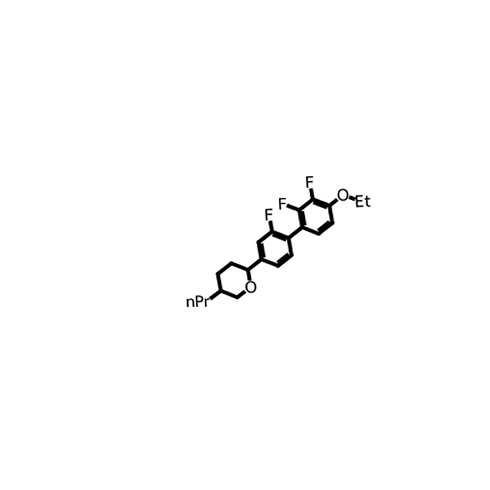 CCCC1CCC(c2ccc(-c3ccc(OCC)c(F)c3F)c(F)c2)OC1